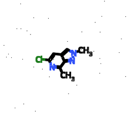 Cc1nc(Cl)cc2cn(C)nc12